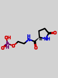 O=C1CC[C@@H](C(=O)NCCO[PH](=O)O)N1